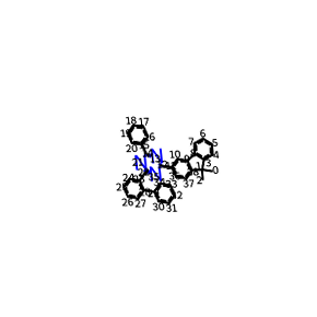 CC1(C)c2ccccc2-c2cc(-c3nc(-c4ccccc4)nc(-c4ccccc4-c4ccccc4)n3)ccc21